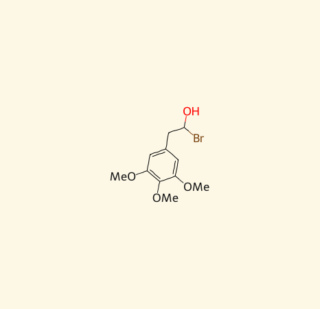 COc1cc(CC(O)Br)cc(OC)c1OC